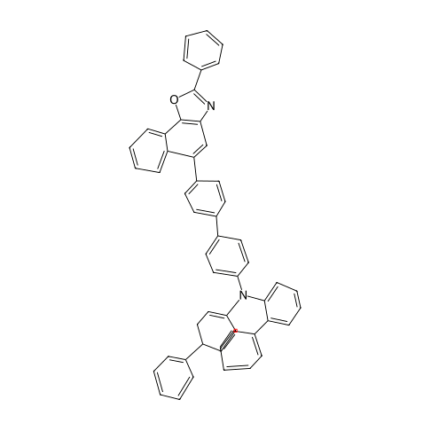 C1=CC(c2ccccc2)CC=C1N(c1ccc(-c2ccc(-c3cc4nc(-c5ccccc5)oc4c4ccccc34)cc2)cc1)c1ccccc1-c1ccccc1